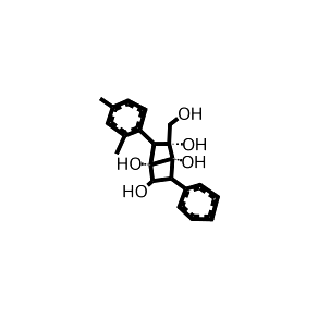 Cc1ccc(C2[C@]3(O)C(O)C(c4ccccc4)[C@]3(O)[C@]2(O)CO)c(C)c1